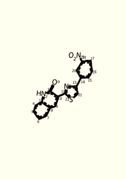 O=c1[nH]c2ccccc2cc1-c1nc(-c2cccc([N+](=O)[O-])c2)cs1